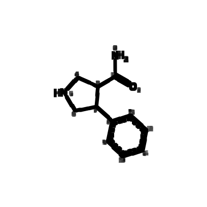 NC(=O)C1CNCC1c1ccccc1